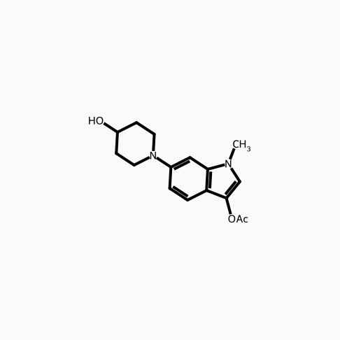 CC(=O)Oc1cn(C)c2cc(N3CCC(O)CC3)ccc12